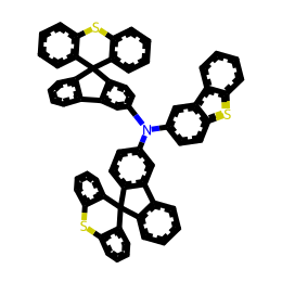 c1ccc2c(c1)Sc1ccccc1C21c2ccccc2-c2cc(N(c3ccc4c(c3)-c3ccccc3C43c4ccccc4Sc4ccccc43)c3ccc4sc5ccccc5c4c3)ccc21